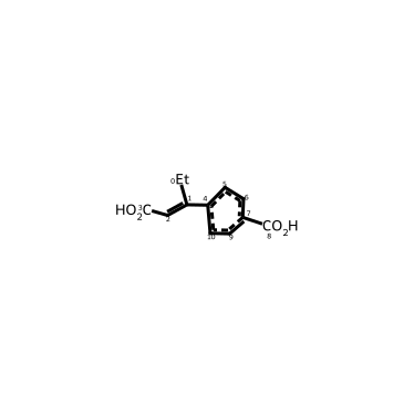 CCC(=CC(=O)O)c1ccc(C(=O)O)cc1